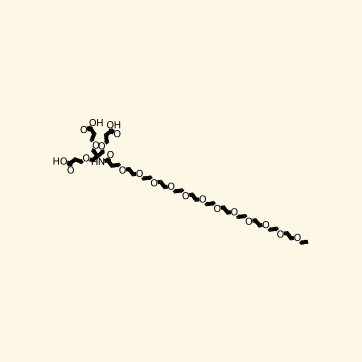 CCOCCOCCOCCOCCOCCOCCOCCOCCOCCOCCOCCOCCC(=O)NC(COCCC(=O)O)(COCCC(=O)O)COCCC(=O)O